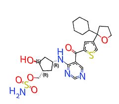 NS(=O)(=O)OC[C@H]1C[C@@H](Nc2ncncc2C(=O)c2cc(C3(C4CCCCC4)CCCO3)cs2)C[C@@H]1O